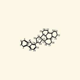 c1ccc2c(c1)sc1c(C3CCC4C(C3)C3CCCC5C6CCCCC6C6CCCC4C6C53)cccc12